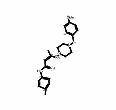 COc1ccc(SN2CCN(N/C(C)=C\C(=N)Nc3ccc(C)cc3)CC2)cc1